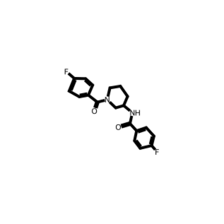 O=C(NC1CCCN(C(=O)c2ccc(F)cc2)C1)c1ccc(F)cc1